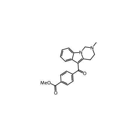 COC(=O)c1ccc(C(=O)c2c3n(c4ccccc24)CN(C)CC3)cc1